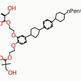 C=C(CO)C(=O)OCCOc1cc(C2CCC(c3ccc(C4CCC(CCCCC)CC4)cc3)CC2)ccc1OCCOC(=O)C(C)(C)CO